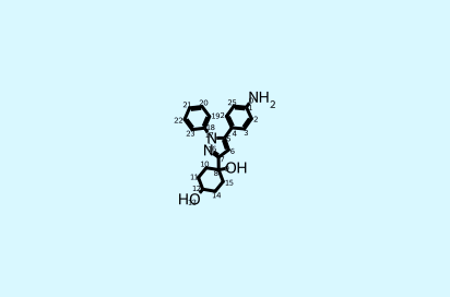 Nc1ccc(-c2cc(C3(O)CCC(O)CC3)nn2-c2ccccc2)cc1